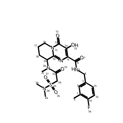 Cc1cc(CNC(=O)c2nc3n(c(=O)c2O)CCCC3N(C)C(=O)CS(=O)(=O)N(C)C)ccc1F